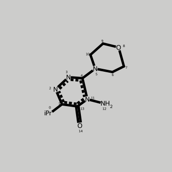 CC(C)c1nnc(N2CCOCC2)n(N)c1=O